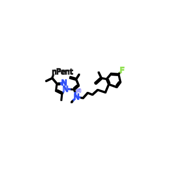 C=C(C)/C=C(/N(C)CCCCCc1ccc(F)cc1C(=C)C)n1nc(C(C)CCCCC)cc1C